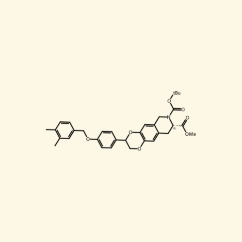 COC(=O)[C@@H]1Cc2cc3c(cc2CN1C(=O)OC(C)(C)C)OC(c1ccc(OCc2ccc(C)c(C)c2)cc1)CO3